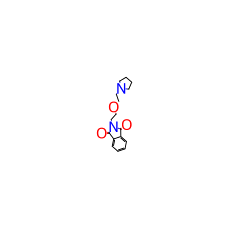 O=C1c2ccccc2C(=O)N1CCOCCN1CCCC1